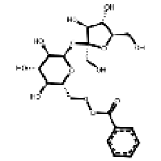 O=C(OOC[C@H]1O[C@H](O[C@]2(CO)O[C@H](CO)[C@@H](O)[C@@H]2O)[C@H](O)[C@@H](O)[C@@H]1O)c1ccccc1